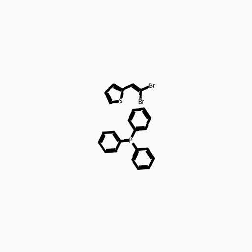 BrC(Br)=Cc1cccs1.c1ccc(P(c2ccccc2)c2ccccc2)cc1